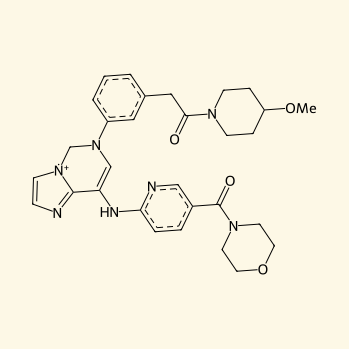 COC1CCN(C(=O)Cc2cccc(N3C=C(Nc4ccc(C(=O)N5CCOCC5)cn4)C4=NC=C[N+]4C3)c2)CC1